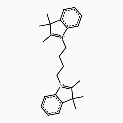 CC1=[N+](CCCC[N+]2=C(C)C(C)(C)c3ccccc32)c2ccccc2C1(C)C